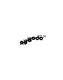 Cc1cccc(-c2nccc(Nc3ccnc(Nc4ccc(N5CCC(N6CCCCC6)C(C(=O)O)C5)cc4)n3)n2)n1